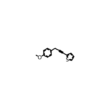 COc1ccc(CC#Cc2cccs2)cc1